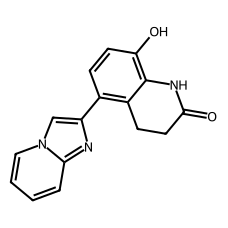 O=C1CCc2c(-c3cn4ccccc4n3)ccc(O)c2N1